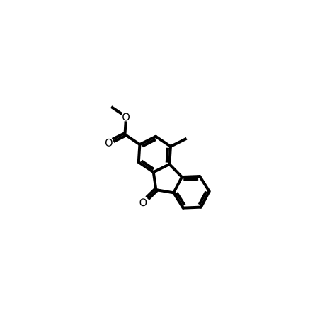 COC(=O)c1cc(C)c2c(c1)C(=O)c1ccccc1-2